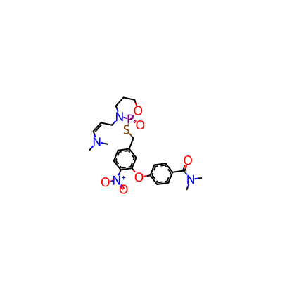 CN(C)/C=C\CN1CCCOP1(=O)SCc1ccc([N+](=O)[O-])c(Oc2ccc(C(=O)N(C)C)cc2)c1